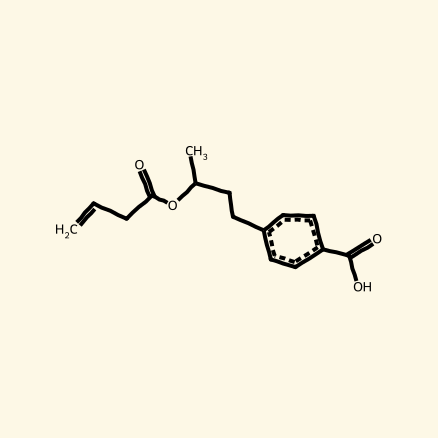 C=CCC(=O)OC(C)CCc1ccc(C(=O)O)cc1